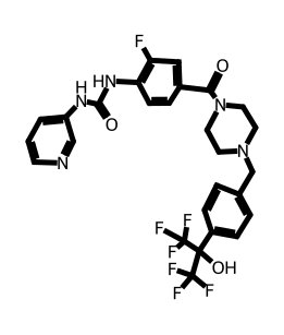 O=C(Nc1cccnc1)Nc1ccc(C(=O)N2CCN(Cc3ccc(C(O)(C(F)(F)F)C(F)(F)F)cc3)CC2)cc1F